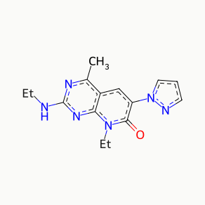 CCNc1nc(C)c2cc(-n3cccn3)c(=O)n(CC)c2n1